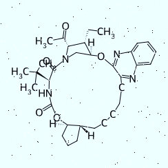 CC[C@@H]1[C@@H]2CN(C(=O)[C@H](C(C)(C)C)NC(=O)O[C@@H]3CCC[C@H]3CCCCCc3nc4ccccc4nc3O2)[C@@H]1C(C)=O